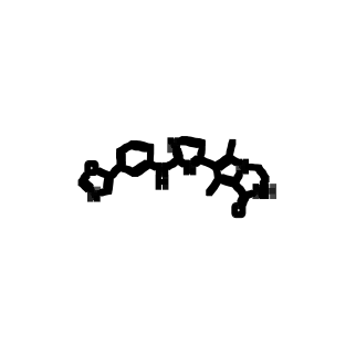 Cc1c(-c2ccnc(Nc3cccc(-c4cnco4)c3)n2)c(C)n2c1C(=O)NCC2